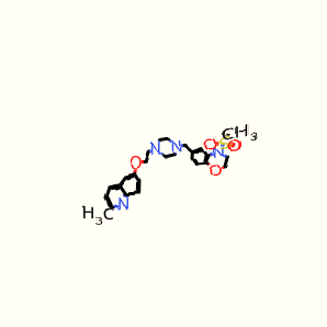 Cc1ccc2cc(OCCN3CCN(Cc4ccc5c(c4)N(S(C)(=O)=O)CCO5)CC3)ccc2n1